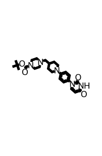 CC(C)(C)OC(=O)N1CCN(CC2CCN(c3ccc(-n4ccc(=O)[nH]c4=O)cc3)CC2)CC1